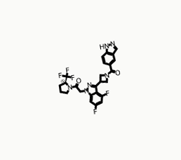 O=C(c1ccc2[nH]ncc2c1)N1CC(c2nn(CC(=O)N3CCC[C@H]3C(F)(F)F)c3cc(F)cc(F)c23)C1